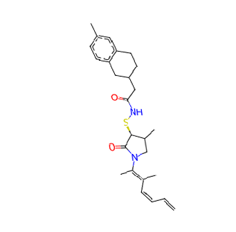 C=C/C=C\C(C)=C(/C)N1CC(C)[C@H](SNC(=O)CC2CCc3cc(C)ccc3C2)C1=O